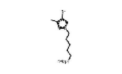 CCCCCCCCCCCCn1cc(Br)c(C)n1